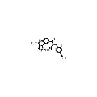 C#Cc1cnc(CN(C(=O)c2ccc3nc(N)c4cnn(C)c4c3c2)C2CC2)c(F)c1